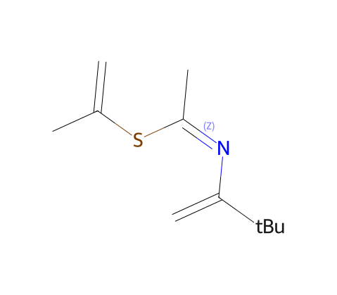 C=C(C)S/C(C)=N\C(=C)C(C)(C)C